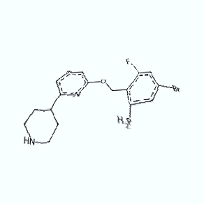 Fc1cc(Br)cc(P)c1COc1cccc(C2CCNCC2)n1